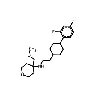 COCC1(NCCC2CCC(c3ccc(F)cc3F)CC2)CCOCC1